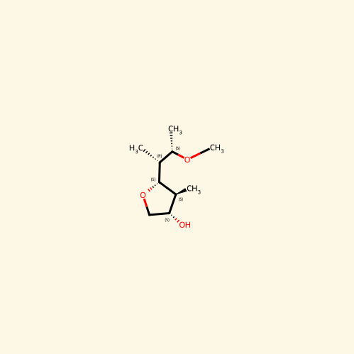 CO[C@@H](C)[C@@H](C)[C@H]1OC[C@@H](O)[C@@H]1C